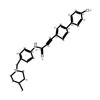 CC1CCN(Cc2ccc(NC(=O)C#Cc3ccc(-c4ccc(Cl)cc4)cc3)cc2)CC1